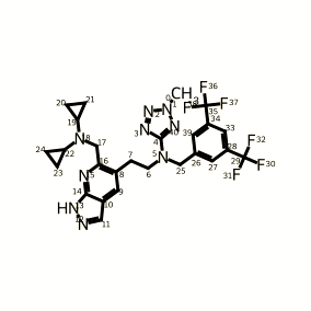 Cn1nnc(N(CCc2cc3cn[nH]c3nc2CN(C2CC2)C2CC2)Cc2cc(C(F)(F)F)cc(C(F)(F)F)c2)n1